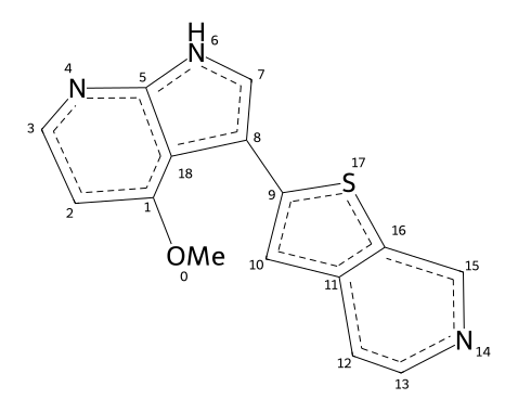 COc1ccnc2[nH]cc(-c3cc4ccncc4s3)c12